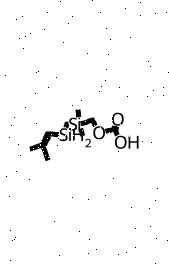 CC(C)=C[SiH2]C[Si](C)(C)COC(=O)O